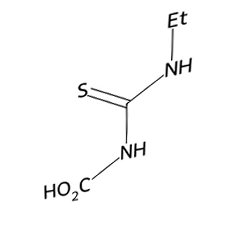 CCNC(=S)NC(=O)O